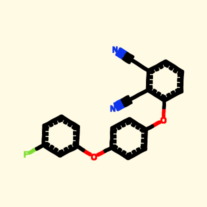 N#Cc1cccc(Oc2ccc(Oc3cccc(F)c3)cc2)c1C#N